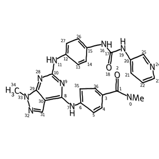 CNC(=O)c1ccc(Nc2nc(Nc3ccc(NC(=O)Nc4cccnc4)cc3)nc3c2cnn3C)cc1